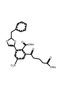 COC(=O)CCCC(=O)c1cc([N+](=O)[O-])cc(C2=COC(Cc3ccccc3)O2)c1C(=O)OC